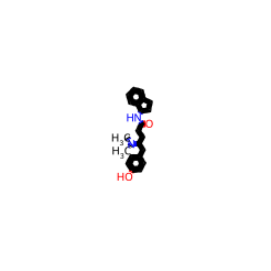 CN(C)C(CCC(=O)NC1CCc2ccccc21)Cc1ccc(O)cc1